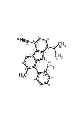 Cc1ccc2c(oc3c(C(C)C)ccc(C#N)c32)c1-c1cccc[n+]1C